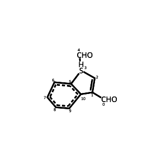 O=CC1=C[SH](C=O)c2ccccc21